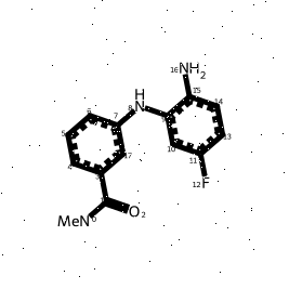 CNC(=O)c1cccc(Nc2cc(F)ccc2N)c1